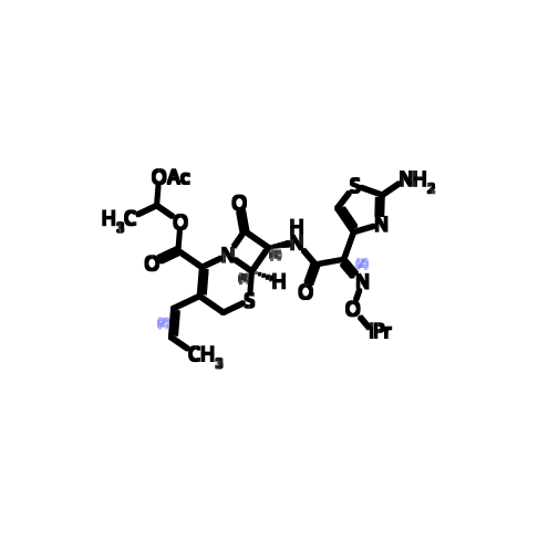 C/C=C\C1=C(C(=O)OC(C)OC(C)=O)N2C(=O)[C@@H](NC(=O)/C(=N\OC(C)C)c3csc(N)n3)[C@H]2SC1